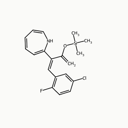 C=C(O[Si](C)(C)C)C(=Cc1cc(Cl)ccc1F)C1=CC=CC=CN1